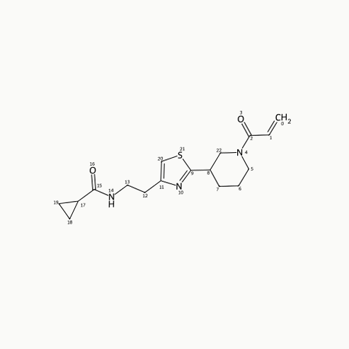 C=CC(=O)N1CCCC(c2nc(CCNC(=O)C3CC3)cs2)C1